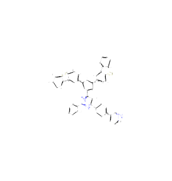 c1ccc(-c2nc(-c3ccc(-c4cccnc4)cc3)cc(-c3cc(-c4ccc5sc6ccccc6c5c4)cc(-c4ccc5sc6ccccc6c5c4)c3)n2)cc1